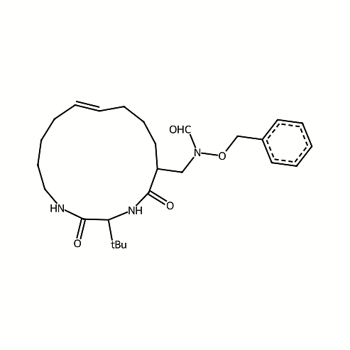 CC(C)(C)C1NC(=O)C(CN(C=O)OCc2ccccc2)CCC/C=C/CCCCNC1=O